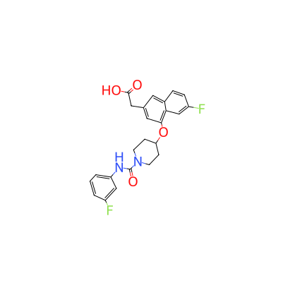 O=C(O)Cc1cc(OC2CCN(C(=O)Nc3cccc(F)c3)CC2)c2cc(F)ccc2c1